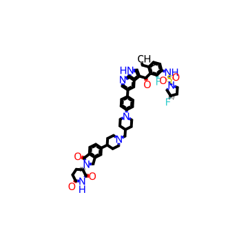 CCc1ccc(NS(=O)(=O)N2CC[C@@H](F)C2)c(F)c1C(=O)c1c[nH]c2ncc(-c3ccc(N4CCC(CN5CCC(c6ccc7c(c6)CN([C@H]6CCC(=O)NC6=O)C7=O)CC5)CC4)cc3)cc12